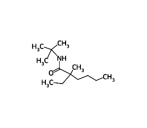 CCCCC(C)(CC)C(=O)NC(C)(C)C